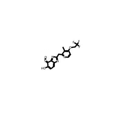 Cc1c(OCC(F)(F)F)ccnc1CC1=NC2=CC=C(O)C(=S=O)C2=N1